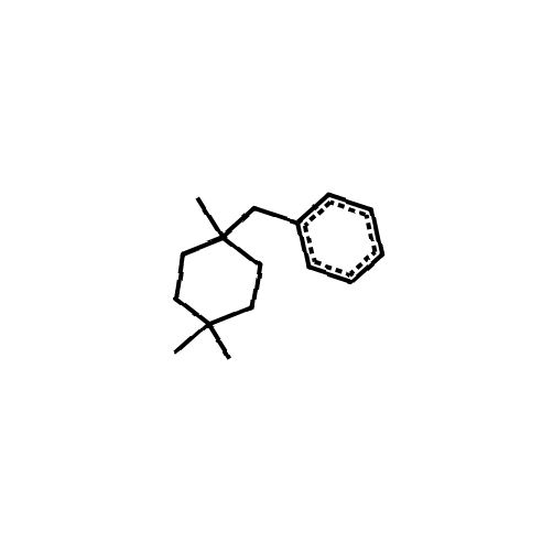 CC1(C)CCC(C)(Cc2ccccc2)CC1